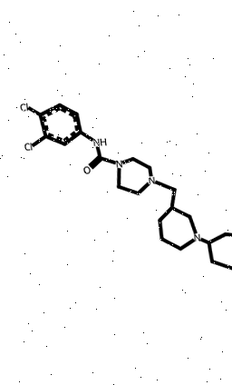 O=C(Nc1ccc(Cl)c(Cl)c1)N1CCN(CC2CCCN(C3CCOCC3)C2)CC1